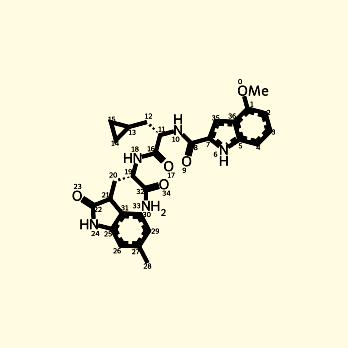 COc1cccc2[nH]c(C(=O)N[C@@H](CC3CC3)C(=O)N[C@@H](CC3C(=O)Nc4cc(C)ccc43)C(N)=O)cc12